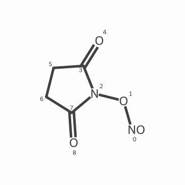 O=NON1C(=O)CCC1=O